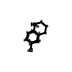 Clc1ncc2c(n1)CCCN2